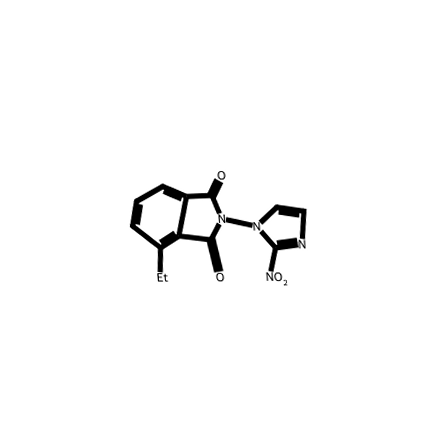 CCc1cccc2c1C(=O)N(n1ccnc1[N+](=O)[O-])C2=O